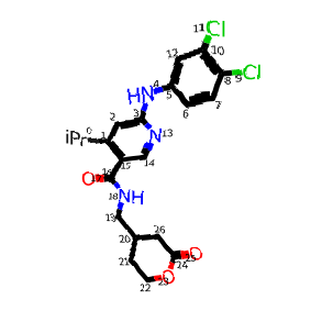 CC(C)c1cc(Nc2ccc(Cl)c(Cl)c2)ncc1C(=O)NCC1CCOC(=O)C1